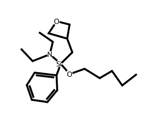 CCCCCO[Si](CC1COC1)(c1ccccc1)N(CC)CC